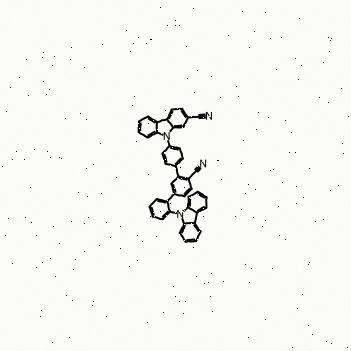 N#Cc1ccc2c3ccccc3n(-c3ccc(-c4cc(-c5ccccc5-n5c6ccccc6c6ccccc65)ccc4C#N)cc3)c2c1